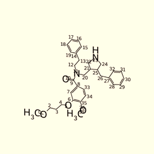 COCCCOc1cc(C(=O)N(CCc2ccccc2)CC2CNCC2Cc2ccccc2)ccc1OC